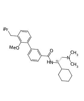 COc1c(CC(C)C)cccc1-c1cccc(C(=O)N[C@H](CN(C)C)C2CCCCC2)c1